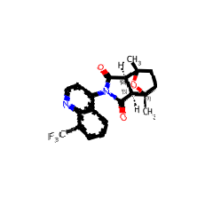 CC12CC[C@@](C)(O1)[C@H]1C(=O)N(c3ccnc4c(C(F)(F)F)cccc34)C(=O)[C@H]12